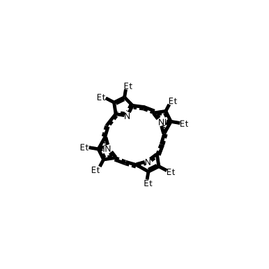 CCC1=C(CC)c2cc3[nH]c(cc4nc(cc5[nH]c(cc1n2)c(CC)c5CC)C(CC)=C4CC)c(CC)c3CC